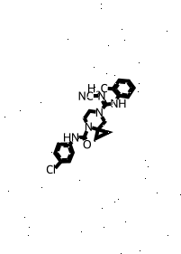 Cc1ccccc1N/C(=N/C#N)N1CCN(C(=O)Nc2ccc(Cl)cc2)C2(CC2)C1